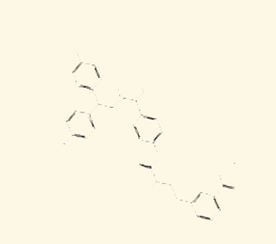 CCC(c1ccc(OC(=O)C(C)CCc2cccc(C(=O)OC(C)(C)C)c2)cc1)N(C)CC(c1ccc(Cl)cc1)c1ccc(Cl)cc1